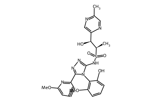 COc1cc#cc(-c2nnc(NS(=O)(=O)[C@H](C)[C@@H](O)c3cnc(C)cn3)n2-c2c(O)cccc2OC)n1